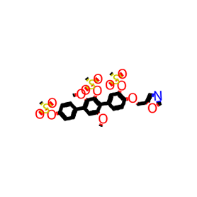 COc1cc(-c2ccc(OS(C)(=O)=O)cc2)c(OC)c(OS(C)(=O)=O)c1-c1ccc(OCc2cnco2)c(OS(C)(=O)=O)c1